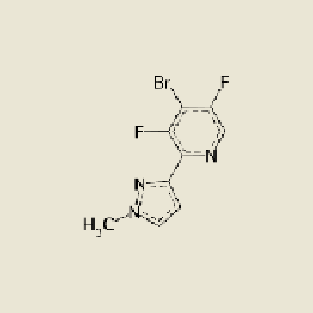 Cn1ccc(-c2ncc(F)c(Br)c2F)n1